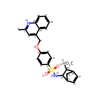 Cc1cc(COc2ccc(S(=O)(=O)NC3C4C=CC(C4)C3C(=O)O)cc2)c2ccccc2n1